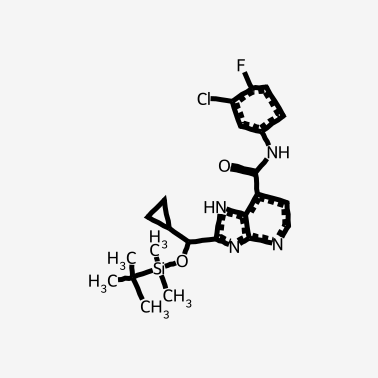 CC(C)(C)[Si](C)(C)OC(c1nc2nccc(C(=O)Nc3ccc(F)c(Cl)c3)c2[nH]1)C1CC1